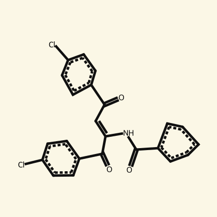 O=C(/C=C(\NC(=O)c1ccccc1)C(=O)c1ccc(Cl)cc1)c1ccc(Cl)cc1